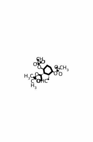 CC1(C)OCC([C@H]2[C@@H](CC=O)[C@H](OS(C)(=O)=O)CC[C@@H]2OS(C)(=O)=O)O1